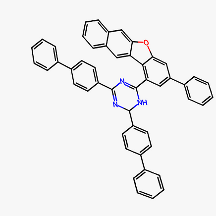 c1ccc(-c2ccc(C3=NC(c4ccc(-c5ccccc5)cc4)NC(c4cc(-c5ccccc5)cc5oc6cc7ccccc7cc6c45)=N3)cc2)cc1